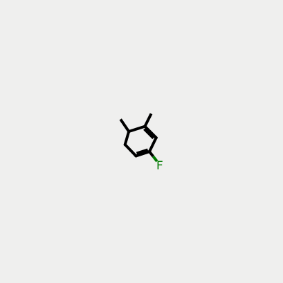 CC1=CC(F)=CCC1C